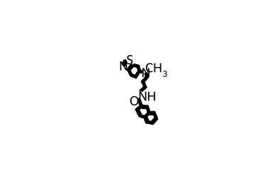 CN(CCCCNC(=O)c1ccc2ccccc2c1)C1CCc2ncsc2C1